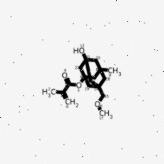 C=C(C)C(=O)OC12CC3(C)CC(O)(CC(COC)(C3)C1)C2